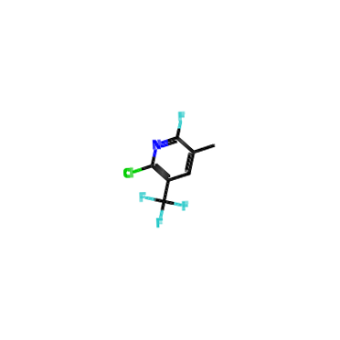 Cc1cc(C(F)(F)F)c(Cl)nc1F